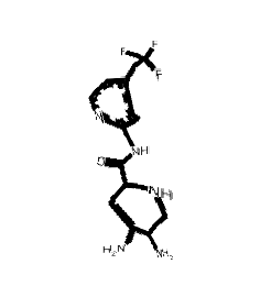 NC1=CC(C(=O)Nc2cc(C(F)(F)F)ccn2)NCC1N